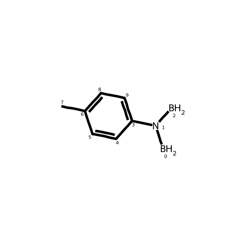 BN(B)c1ccc(C)cc1